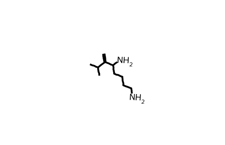 C=C(C(C)C)C(N)CCCCN